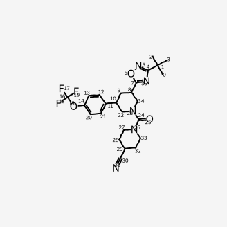 CC(C)(C)c1noc(C2CC(c3ccc(OC(F)(F)F)cc3)CN(C(=O)N3CCC(C#N)CC3)C2)n1